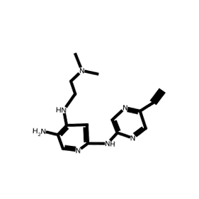 C#Cc1cnc(Nc2cc(NCCN(C)C)c(N)cn2)cn1